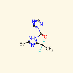 CCc1nc(C(F)(F)C(F)(F)F)n(C(=O)n2cncn2)n1